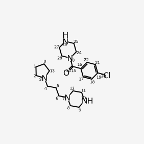 C1CCN(CCCN2CCNCC2)C1.O=C(c1ccc(Cl)cc1)N1CCNCC1